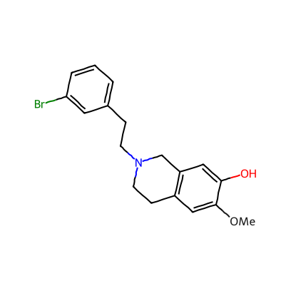 COc1cc2c(cc1O)CN(CCc1cccc(Br)c1)CC2